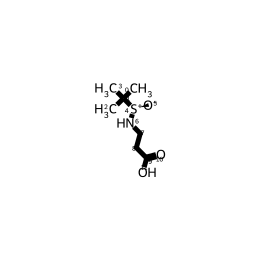 CC(C)(C)[S@@+]([O-])NCCC(=O)O